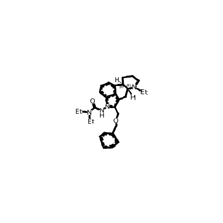 CCN(CC)C(=O)Nn1c(COCc2ccccc2)c2c3c(cccc31)[C@H]1CCCN(CC)[C@@H]1C2